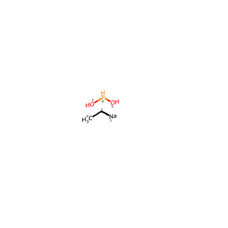 C[CH2][Na].OPO